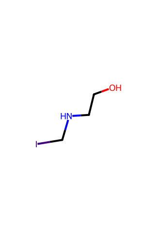 OCCNCI